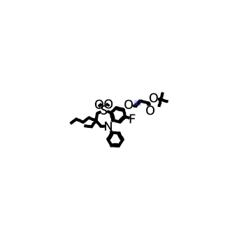 CCCCC1(CC)CN(c2ccccc2)c2cc(F)c(O/C=C/C(=O)OC(C)(C)C)cc2S(=O)(=O)C1